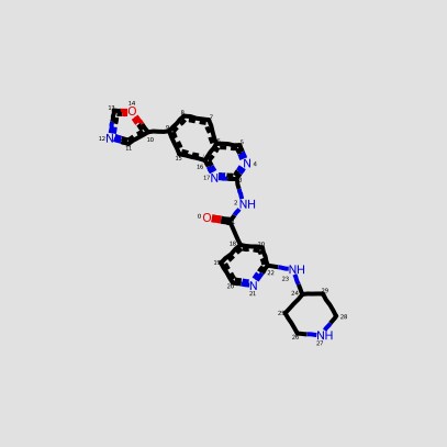 O=C(Nc1ncc2ccc(-c3cnco3)cc2n1)c1ccnc(NC2CCNCC2)c1